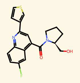 O=C(c1cc(-c2ccsc2)nc2ccc(F)cc12)N1CCC[C@H]1CO